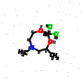 CC1CN(C)CC[O][Sn]([Cl])([Cl])[O]1